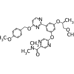 COC[C@H](C)Oc1cc(Oc2cnc(C(=O)N(C)C)cn2)cc(-c2nccc(OCc3ccc(OC)cc3)n2)c1